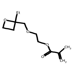 C=C(C)C(=O)OCCOCC1(CC)CCO1